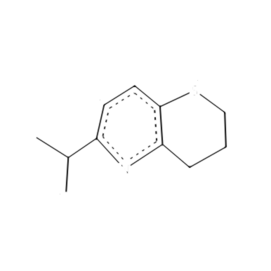 CC(C)c1ccc2c(n1)CCCS2